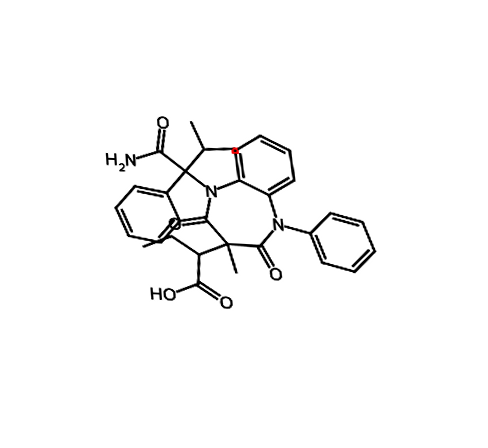 CCC(C(=O)O)C1(C)C(=O)N(c2ccccc2)c2ccccc2N(C(C(N)=O)(c2ccccc2)C(C)C)C1=O